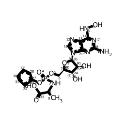 CC(NP(=O)(OC[C@H]1O[C@@H](n2cnc3c(NO)nc(N)nc32)[C@H](O)[C@@H]1O)Oc1ccccc1)C(=O)O